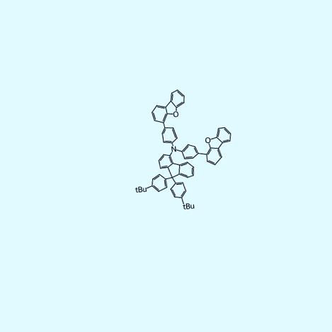 CC(C)(C)c1ccc(C2(c3ccc(C(C)(C)C)cc3)c3ccccc3-c3c(N(c4ccc(-c5cccc6c5oc5ccccc56)cc4)c4ccc(-c5cccc6c5oc5ccccc56)cc4)cccc32)cc1